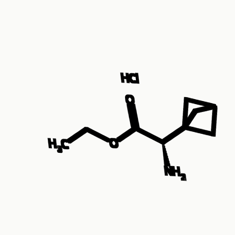 CCOC(=O)[C@@H](N)C12CC(C1)C2.Cl